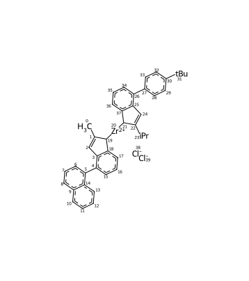 CC1=Cc2c(-c3cccc4ccccc34)cccc2[CH]1[Zr+2][CH]1C(C(C)C)=Cc2c(-c3ccc(C(C)(C)C)cc3)cccc21.[Cl-].[Cl-]